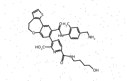 Cc1cc(CN)ccc1NC(=O)c1cc2c(cc1-c1ccc(C(=O)NCCCCO)nc1C(=O)O)OCCc1ccsc1-2